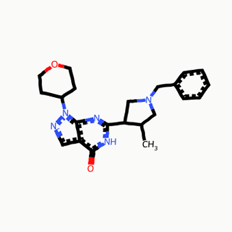 CC1CN(Cc2ccccc2)CC1c1nc2c(cnn2C2CCOCC2)c(=O)[nH]1